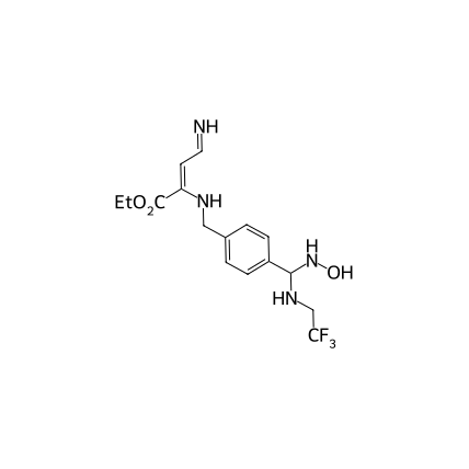 CCOC(=O)/C(=C/C=N)NCc1ccc(C(NO)NCC(F)(F)F)cc1